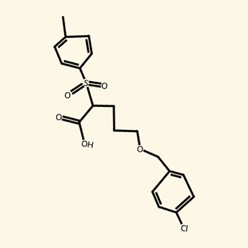 Cc1ccc(S(=O)(=O)C(CCCOCc2ccc(Cl)cc2)C(=O)O)cc1